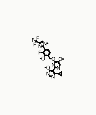 COc1cnc(-c2c(OC)ncnc2C2CC2)nc1OCc1ccc(-c2nc(C(F)(F)F)cn2C)c(F)c1OC